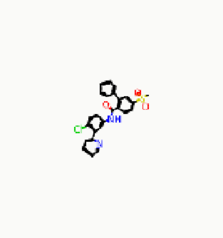 CS(=O)(=O)c1ccc(C(=O)Nc2ccc(Cl)c(-c3ccccn3)c2)c(-c2ccccc2)c1